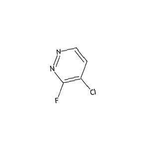 Fc1nnccc1Cl